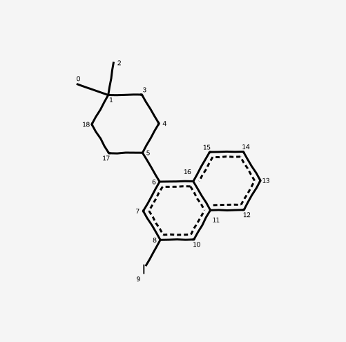 CC1(C)CCC(c2cc(I)cc3ccccc23)CC1